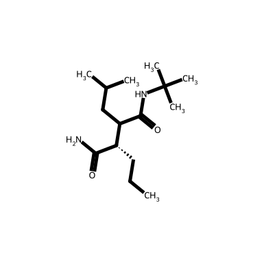 CCC[C@H](C(N)=O)C(CC(C)C)C(=O)NC(C)(C)C